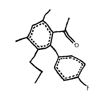 CCCc1c(C)cc(C)c(C(C)=O)c1-c1ccc(F)cc1